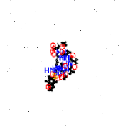 COC(=O)[C@@H](NC(=O)[C@H](CCCNC(=N)NS(=O)(=O)c1c(C)c(C)c2c(c1C)CC(C)(C)O2)NC(=O)[C@@H](NC(=O)[C@@H](NC(=O)[C@@H](NC(=O)[C@H](COC(C)(C)C)NC(C)=O)C(C)C)C(C)C)C(C)C)[C@@H](C)OC(C)(C)C